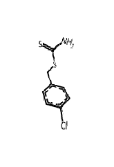 NC(=S)SCc1ccc(Cl)cc1